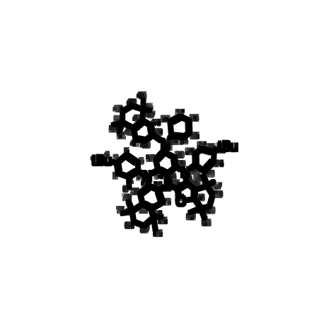 Cc1cc(C(C)(C)C)ccc1N1c2cc3c(cc2B2c4oc5c(c4N(c4ccc(C(C)(C)C)cc4)c4cc(N(c6ccccc6)c6ccc7c(c6)C(C)(C)CCC7(C)C)cc1c42)C(C)(C)CCC5(C)C)C(C)(C)CCC3(C)C